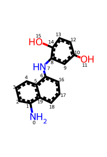 Nc1cccc2c(Nc3cc(O)ccc3O)cccc12